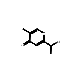 Cc1coc(C(C)O)cc1=O